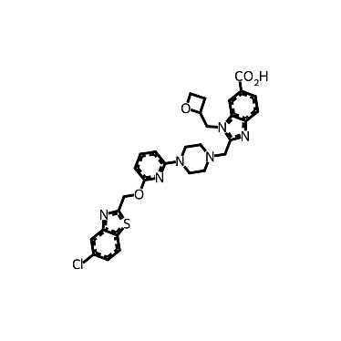 O=C(O)c1ccc2nc(CN3CCN(c4cccc(OCc5nc6cc(Cl)ccc6s5)n4)CC3)n(CC3CCO3)c2c1